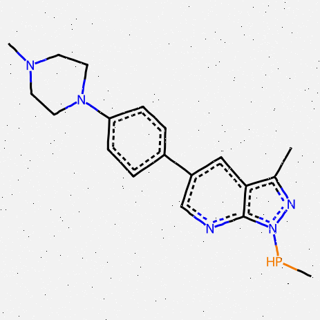 CPn1nc(C)c2cc(-c3ccc(N4CCN(C)CC4)cc3)cnc21